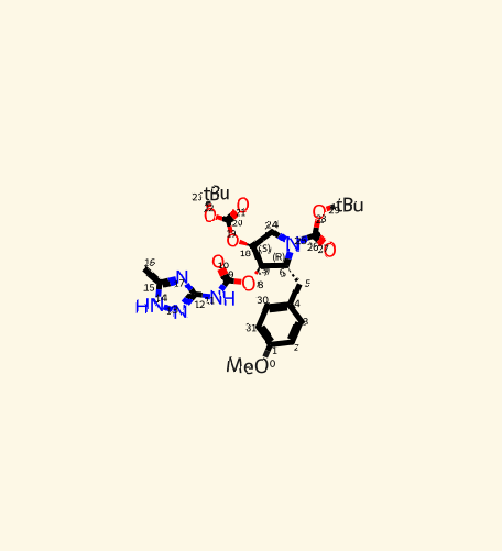 COc1ccc(C[C@@H]2[C@H](OC(=O)Nc3n[nH]c(C)n3)[C@@H](OC(=O)OC(C)(C)C)CN2C(=O)OC(C)(C)C)cc1